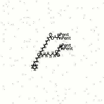 CCCCCC(CCCCC)CCOC(=O)CCCCCCCCCC(CCCCCCCC(=O)OCCC(CCCCC)CCCCC)OCCCCN1CCCCC1